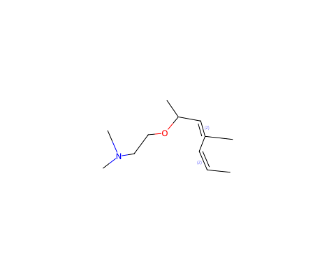 C/C=C\C(C)=C/C(C)OCCN(C)C